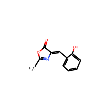 CC1=N/C(=C\c2ccccc2O)C(=O)O1